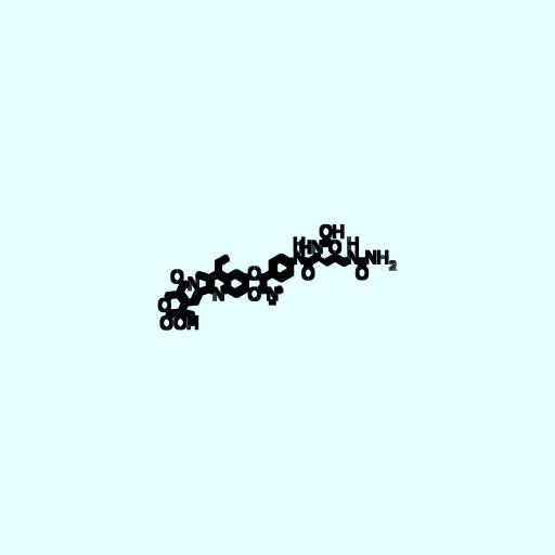 CCc1c2c(nc3ccc(OC(C(=O)N(C)C)c4ccc(NC(=O)[C@H](CCCNC(N)=O)NC(=O)O)cc4)cc13)-c1cc3c(c(=O)n1C2)COC(=O)[C@]3(O)CC